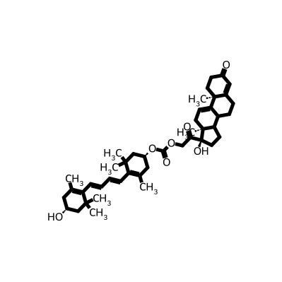 CC1=C(/C=C/C=C/C2=C(C)C[C@@H](OC(=O)OCC(=O)[C@@]3(O)CCC4C5CCC6=CC(=O)CC[C@]6(C)C5=CC[C@@]43C)CC2(C)C)C(C)(C)C[C@H](O)C1